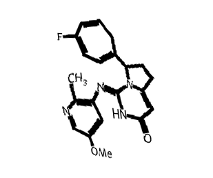 COc1cnc(C)c(/N=c2\[nH]c(=O)cc3n2C(C2=CC=C(F)C=CC2)CC3)c1